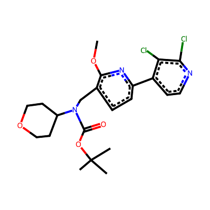 COc1nc(-c2ccnc(Cl)c2Cl)ccc1CN(C(=O)OC(C)(C)C)C1CCOCC1